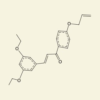 C=CCOc1ccc(C(=O)/C=C/c2cc(OCC)cc(OCC)c2)cc1